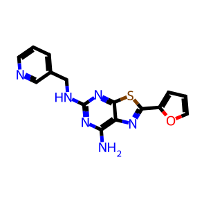 Nc1nc(NCc2cccnc2)nc2sc(-c3ccco3)nc12